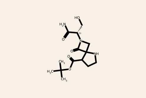 CC(C)(C)OC(=O)C1CCNC12CN([C@@H](CO)C(N)=O)C2=O